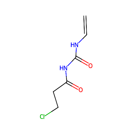 C=CNC(=O)NC(=O)CCCl